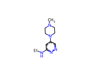 CCNc1cc(N2CCN(C)CC2)cnn1